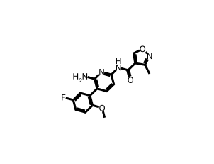 COc1ccc(F)cc1-c1ccc(NC(=O)c2conc2C)nc1N